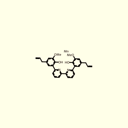 C=CCc1cc(OC)c(O)c(-c2cccc(-c3cccc(-c4cc(CC=C)cc(OC)c4O)n3)n2)c1.[Mn]